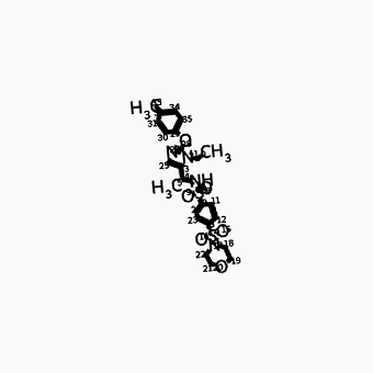 CCn1c(C(C)NS(=O)(=O)c2ccc(S(=O)(=O)N3CCOCC3)cc2)cnc1Oc1ccc(C)cc1